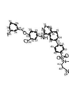 CN1CCCN(S(=O)(=O)c2ccc(-c3ccc4ncnc(Nc5ccc(OCc6cccc(F)c6)c(Cl)c5)c4c3)cc2)CC1